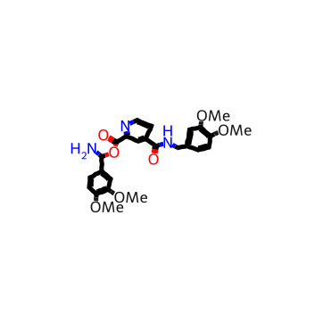 COc1ccc(CNC(=O)c2ccnc(C(=O)OC(N)c3ccc(OC)c(OC)c3)c2)cc1OC